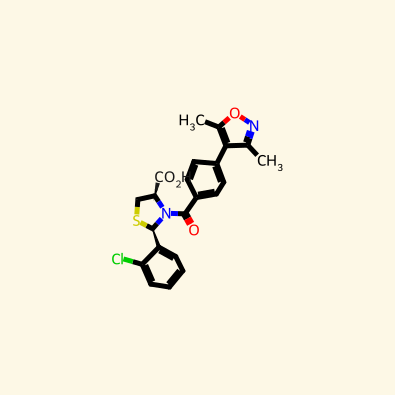 Cc1noc(C)c1-c1ccc(C(=O)N2[C@@H](c3ccccc3Cl)SC[C@H]2C(=O)O)cc1